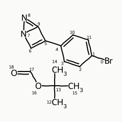 Brc1ccc(-c2cn3nc2-3)cc1.CC(C)(C)OC=O